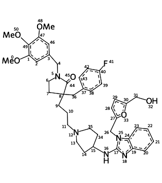 COc1cc(CN2CCC(CCCN3CCC(Nc4nc5ccccc5n4Cc4ccc(CO)o4)CC3)(Cc3ccc(F)cc3)C2=O)cc(OC)c1OC